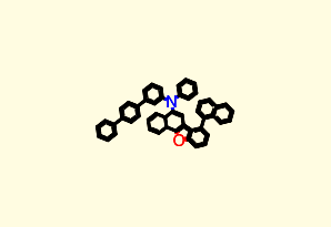 C1=CC2C(N(c3ccccc3)c3cccc(-c4ccc(-c5ccccc5)cc4)c3)=Cc3c(oc4cccc(-c5cccc6ccccc56)c34)C2C=C1